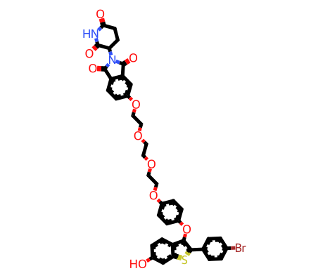 O=C1CCC(N2C(=O)c3ccc(OCCOCCOCCOc4ccc(Oc5c(-c6ccc(Br)cc6)sc6cc(O)ccc56)cc4)cc3C2=O)C(=O)N1